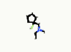 CCN(C)CC1(F)CCCC1